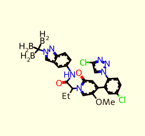 BC(B)(B)n1cc2cc(NC(=O)C(CC)n3cc(OC)c(-c4cc(Cl)ccc4-n4cc(Cl)nn4)cc3=O)ccc2n1